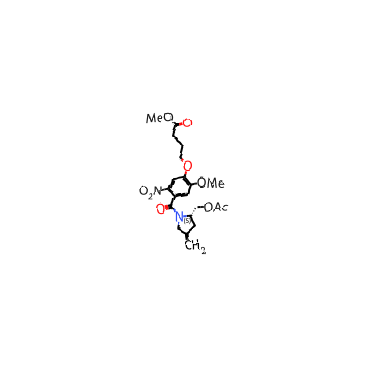 C=C1C[C@@H](COC(C)=O)N(C(=O)c2cc(OC)c(OCCCC(=O)OC)cc2[N+](=O)[O-])C1